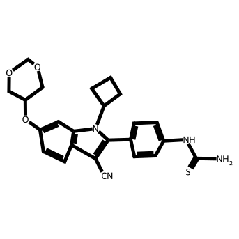 N#Cc1c(-c2ccc(NC(N)=S)cc2)n(C2CCC2)c2cc(OC3COCOC3)ccc12